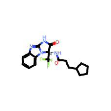 O=C(CCC1CCCC1)N[C@@]1(C(F)(F)F)C(=O)Nc2nc3ccccc3n21